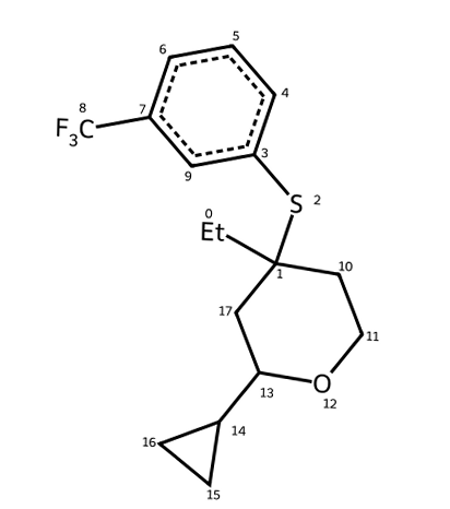 CCC1(Sc2cccc(C(F)(F)F)c2)CCOC(C2CC2)C1